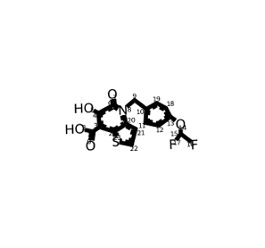 O=C(O)c1c(O)c(=O)n(Cc2ccc(OC(F)F)cc2)c2ccsc12